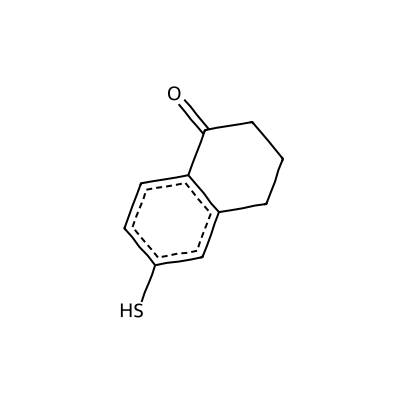 O=C1CCCc2cc(S)ccc21